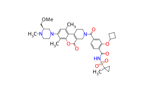 COC[C@H]1CN(c2cc(C)c3c4c(c(=O)oc3c2C)CN(C(=O)c2ccc(C(=O)NS(=O)(=O)C3(C)CC3)c(OC3CCC3)c2)CC4)CCN1C